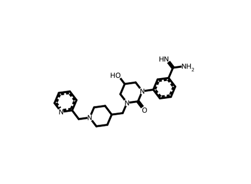 N=C(N)c1cccc(N2CC(O)CN(CC3CCN(Cc4ccccn4)CC3)C2=O)c1